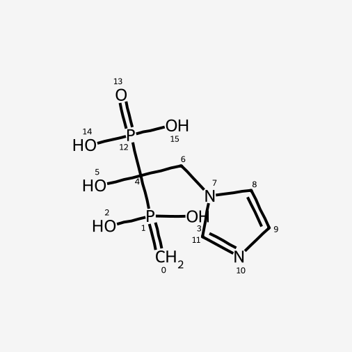 C=P(O)(O)C(O)(Cn1ccnc1)P(=O)(O)O